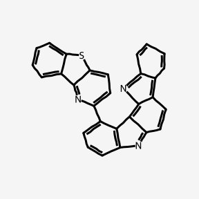 c1cc2c(c(-c3ccc4sc5ccccc5c4n3)c1)-c1c3c(ccc1=N2)=c1ccccc1=N3